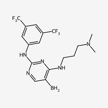 Bc1cnc(Nc2cc(C(F)(F)F)cc(C(F)(F)F)c2)nc1NCCCN(C)C